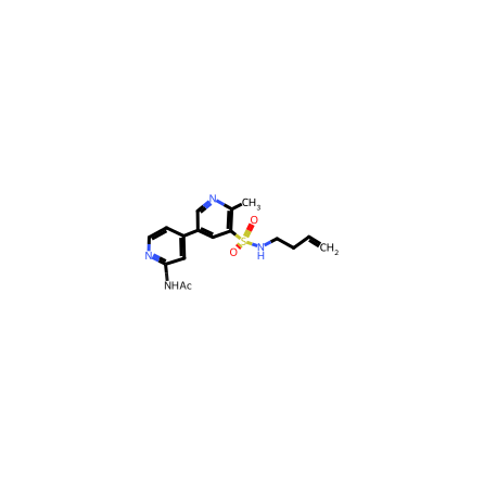 C=CCCNS(=O)(=O)c1cc(-c2ccnc(NC(C)=O)c2)cnc1C